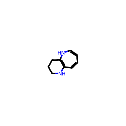 C1=CNC2=C(C=C1)NCCC2